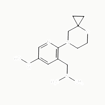 CN(C)Cc1cc(BO)cnc1N1CCOC2(CC2)C1